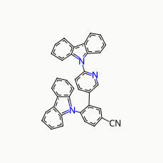 N#Cc1ccc(-n2c3ccccc3c3ccccc32)c(-c2ccc(-n3c4ccccc4c4ccccc43)nc2)c1